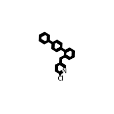 Clc1ccc(Cc2ccccc2-c2ccc(-c3ccccc3)cc2)cn1